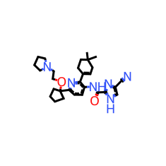 CC1(C)CC=C(c2nc(C3(OCCN4CCCC4)CCCC3)ccc2NC(=O)c2nc(C#N)c[nH]2)CC1